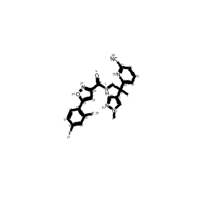 Cn1cc(C(C)(CNC(=O)c2cc(-c3ccc(F)cc3F)on2)c2cccc(C#N)n2)cn1